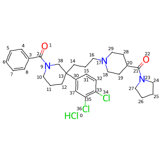 Cl.O=C(c1ccccc1)N1CCCC(CCCN2CCC(C(=O)N3CCCC3)CC2)(c2ccc(Cl)c(Cl)c2)C1